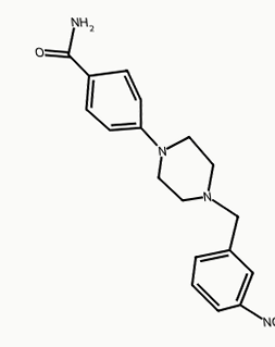 NC(=O)c1ccc(N2CCN(Cc3cccc([N+](=O)[O-])c3)CC2)cc1